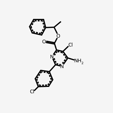 CC(OC(=O)c1nc(-c2ccc(Cl)cc2)nc(N)c1Cl)c1ccccc1